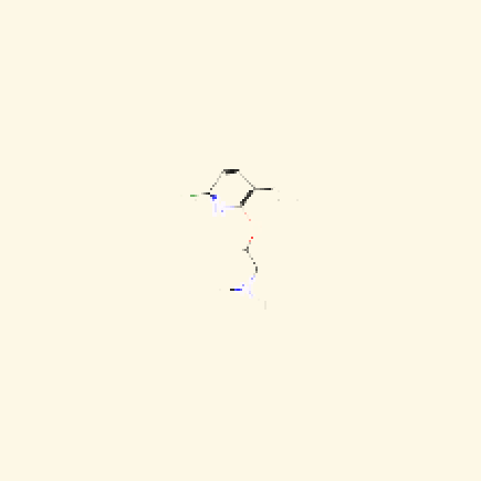 CN(C)CCOc1nc(Cl)ccc1[N+](=O)[O-]